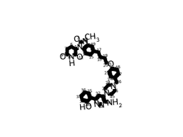 Cn1c(=O)n(C2CCC(=O)NC2=O)c2ccc(CCCCOc3ccc(CN4CCN(c5cc(-c6ccccc6O)nnc5N)CC4)cc3)cc21